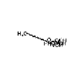 CCCCCCCCCCCCCCCCCC(=O)Nc1ccn(C2OC(CO)C(O)C2O)c(=O)n1